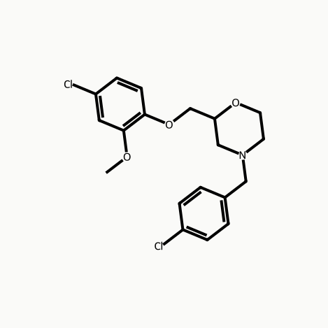 COc1cc(Cl)ccc1OCC1CN(Cc2ccc(Cl)cc2)CCO1